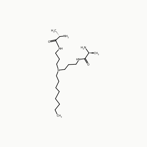 CCCCCCCCN(CCCNC(=O)[C@H](C)N)CCCNC(=O)[C@H](C)N